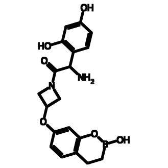 NC(C(=O)N1CC(Oc2ccc3c(c2)OB(O)CC3)C1)c1ccc(O)cc1O